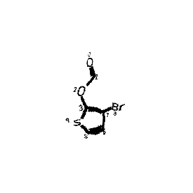 O=COc1sccc1Br